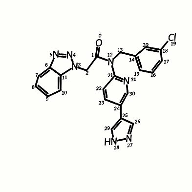 O=C(Cn1nnc2ccccc21)N(Cc1cccc(Cl)c1)c1ccc(-c2cn[nH]c2)cn1